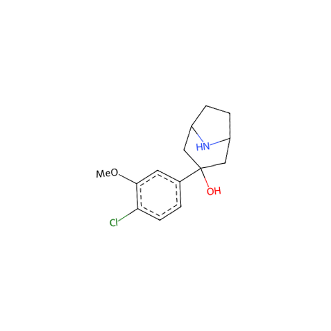 COc1cc(C2(O)CC3CCC(C2)N3)ccc1Cl